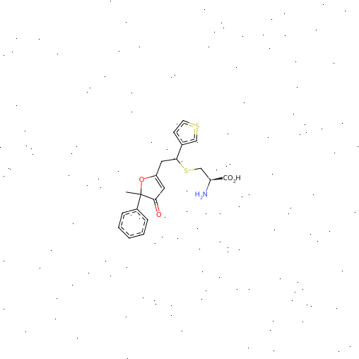 CC1(c2ccccc2)OC(CC(SC[C@H](N)C(=O)O)c2ccsc2)=CC1=O